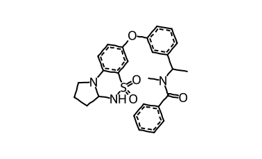 CC(c1cccc(Oc2ccc3c(c2)S(=O)(=O)NC2CCCN32)c1)N(C)C(=O)c1ccccc1